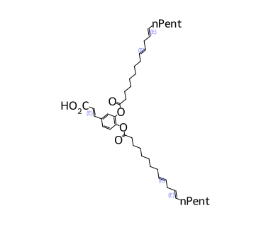 CCCCC/C=C/C/C=C/CCCCCCCC(=O)Oc1ccc(/C=C/C(=O)O)cc1OC(=O)CCCCCCC/C=C/C/C=C/CCCCC